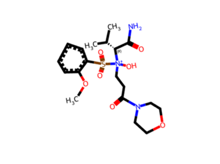 COc1ccccc1S(=O)(=O)[N+](O)(CCC(=O)N1CCOCC1)[C@@H](C(N)=O)C(C)C